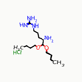 CCCCOC(OCCCC)[C@@H](N)CCCNC(=N)N.Cl